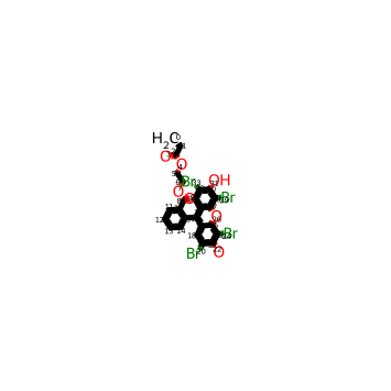 C=CC(=O)OCCOC(=O)c1ccccc1-c1c2cc(Br)c(=O)c(Br)c-2oc2c(Br)c(O)c(Br)cc12